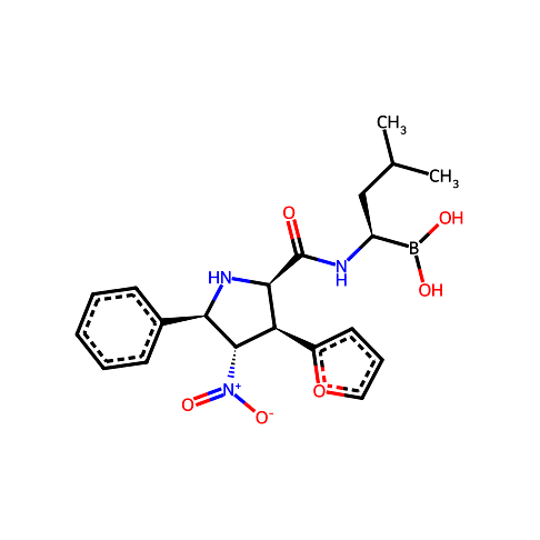 CC(C)C[C@H](NC(=O)[C@@H]1N[C@H](c2ccccc2)[C@@H]([N+](=O)[O-])[C@@H]1c1ccco1)B(O)O